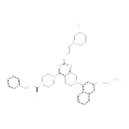 COCOc1cc(N2CCc3c(nc(OCCN4CCC[C@@H](F)C4)nc3N3CCN(C(=O)OCc4ccccc4)CC3)C2)c2ccccc2c1